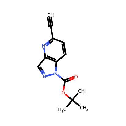 C#Cc1ccc2c(cnn2C(=O)OC(C)(C)C)n1